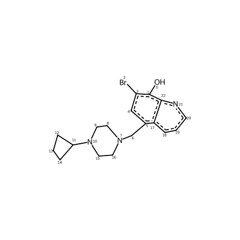 Oc1c(Br)cc(CN2CCN(C3CCC3)CC2)c2cccnc12